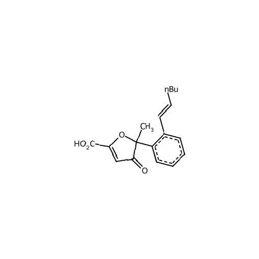 CCCCC=Cc1ccccc1C1(C)OC(C(=O)O)=CC1=O